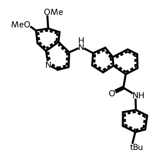 COc1cc2nccc(Nc3ccc4c(C(=O)Nc5ccc(C(C)(C)C)cc5)cccc4c3)c2cc1OC